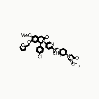 COc1cc2c(cc1OCC1CCCO1)[C@H](c1ccc(Cl)cc1)N(c1ccc(N(C)C[C@H]3CC[C@H](N4CC(=O)N(C)C4)CC3)nc1)C(=O)C2